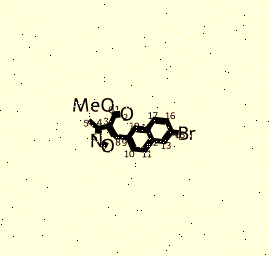 COC(=O)c1c(C)noc1-c1ccc2cc(Br)ccc2c1